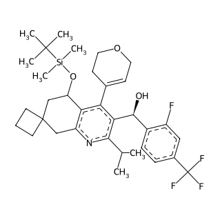 CC(C)c1nc2c(c(C3=CCOCC3)c1[C@@H](O)c1ccc(C(F)(F)F)cc1F)C(O[Si](C)(C)C(C)(C)C)CC1(CCC1)C2